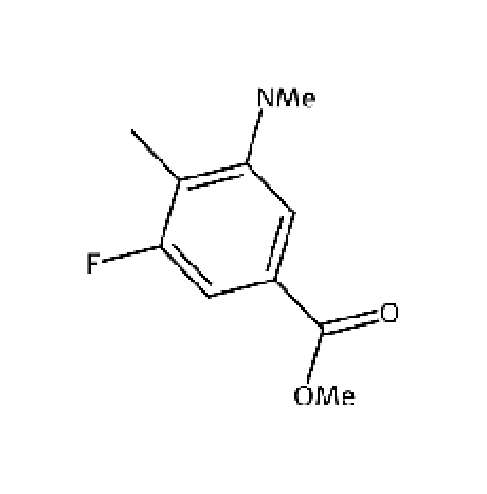 CNc1cc(C(=O)OC)cc(F)c1C